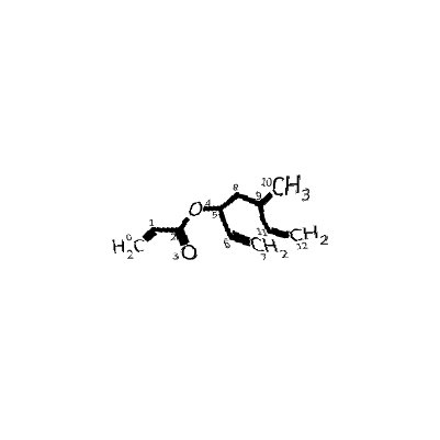 C=CC(=O)OC(C=C)CC(C)C=C